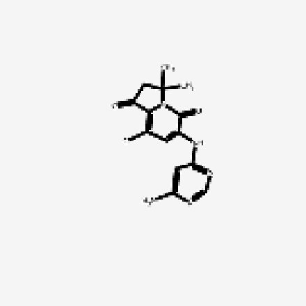 CC1(C)CC(=O)c2c(Cl)cc(Nc3cc(N)ncn3)c(=O)n21